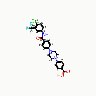 O=C(O)c1ccc(N2CCN(c3ccc(C(=O)Nc4ccc(Cl)c(C(F)(F)F)c4)cc3)CC2)cc1